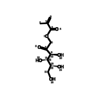 C=C(C)C(=O)OCC(=O)[C@@H](O)[C@@H](O)[C@H](O)CO